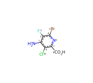 Nc1c(F)c(Br)nc(C(=O)O)c1Cl